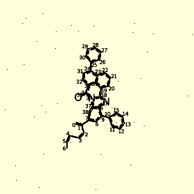 C=C(/C=C\C=C/C)c1cc(-c2ccccc2)c2nc3c4cccc5c(-c6ccccc6)ccc(c(=O)n3c2c1)c54